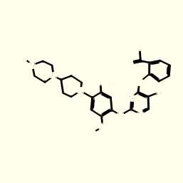 C=C(C)c1ccccc1Nc1nc(Nc2cc(C)c(N3CCC(N4CCN(C)CC4)CC3)cc2OC)ncc1Br